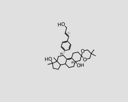 CC1(C)COC2(CCC3=C4C(CC[C@@]3(O)C2)C2CCC(C)(O)C2(C)C[C@@H]4c2ccc(/C=C/CO)cc2)OC1